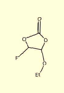 CCOC1OC(=O)OC1F